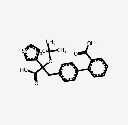 CC(C)(C)OC(Cc1ccc(-c2ccccc2C(=O)O)cc1)(C(=O)O)c1ccsc1